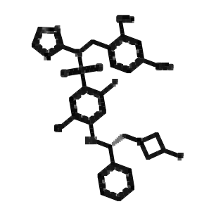 COc1ccc(CN(c2nccs2)S(=O)(=O)c2cc(Cl)c(N[C@H](CN3CC(F)C3)c3ccccc3)cc2F)c(OC)c1